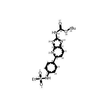 CCS(=O)(=O)Nc1ccc(-c2ccc3nc(NC(=O)OC(C)(C)C)sc3n2)cc1